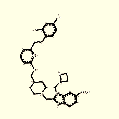 N#Cc1ccc(OCc2cccc(OCC3CCN(Cc4nc5ccc(C(=O)O)cc5n4C[C@@H]4CCO4)CC3)n2)c(F)c1